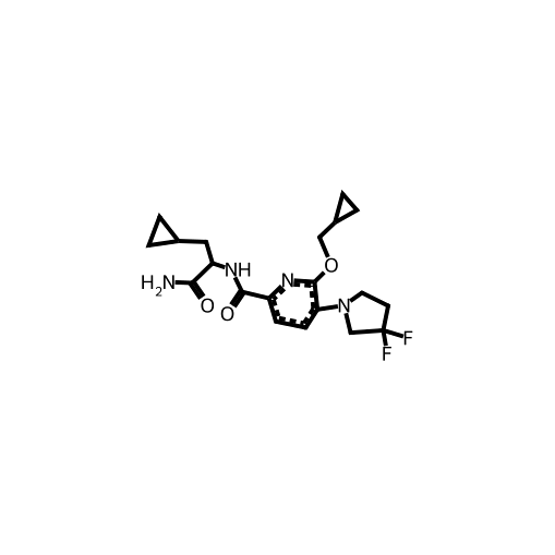 NC(=O)C(CC1CC1)NC(=O)c1ccc(N2CCC(F)(F)C2)c(OCC2CC2)n1